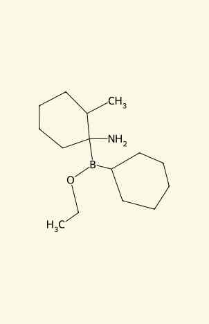 CCOB(C1CCCCC1)C1(N)CCCCC1C